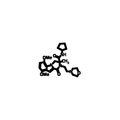 COc1ccc(OC)c2c1cc1n2CC(C)(C(=O)NC2CCCC2)N(CCN2CCOCC2)C1=O